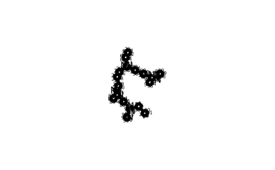 c1ccc(-c2cccc(-c3nc(-c4ccc(-c5nc6c(nc7cc(-c8ccc9ccc(-c%10cc(-c%11ccc(-c%12ccc(-c%13nc%14c(nc%15ccccn%15%14)c%14ccccc%13%14)cc%12)cc%11)nc(-c%11ccc%12ccccc%12c%11)n%10)cc9c8)ccn76)c6ccccc56)cc4)cc(-c4ccccn4)n3)c2)cc1